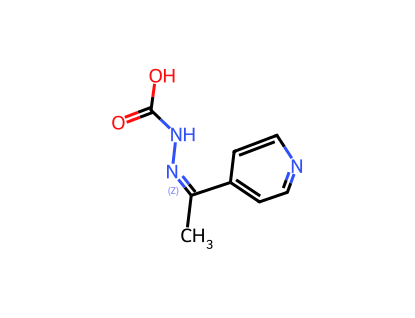 C/C(=N/NC(=O)O)c1ccncc1